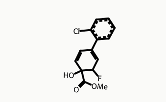 COC(=O)C1(O)C=CC(c2ccccc2Cl)=CC1F